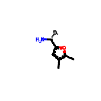 CC[C@@H](N)c1cc(C)c(C)o1